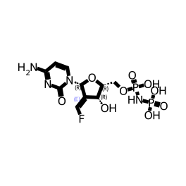 Nc1ccn([C@@H]2O[C@H](COP(=O)(O)NP(=O)(O)O)[C@H](O)/C2=C\F)c(=O)n1